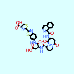 O=C(O)C[C@H](NC(=O)[C@@H]1CCCN2C(=O)CC[C@H](NC(=O)c3nccc4ccccc34)C(=O)N12)C(=O)Nc1ccc2nc(C3=N[C@@H](C(=O)O)CS3)sc2c1